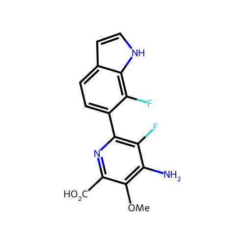 COc1c(C(=O)O)nc(-c2ccc3cc[nH]c3c2F)c(F)c1N